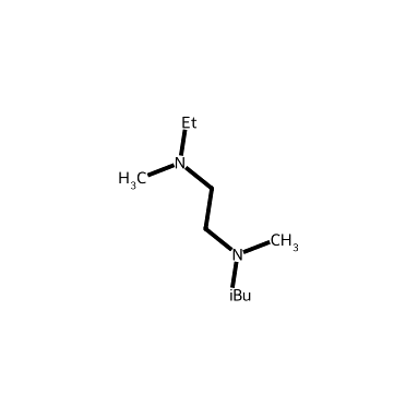 CCC(C)N(C)CCN(C)CC